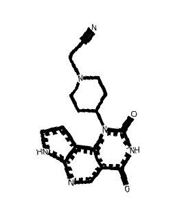 N#CCN1CCC(n2c(=O)[nH]c(=O)c3cnc4[nH]ccc4c32)CC1